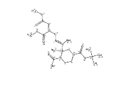 COC(=O)C=C(O/N=C(\N)C1(C)CN(C(=O)OC(C)(C)C)CCN1C(=O)O)C(=O)OC